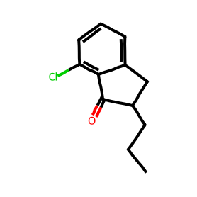 CCCC1Cc2cccc(Cl)c2C1=O